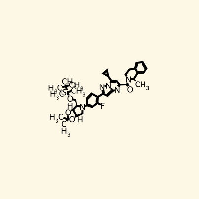 C[C@@H]1c2ccccc2CCN1C(=O)c1cc(C2CC2)n2nc(-c3ccc(N4C[C@@H]5OC(C)(C)O[C@@H]5[C@H]4CO[Si](C)(C)C(C)(C)C)cc3F)cc2n1